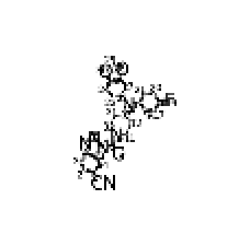 N#Cc1ccc2nnn(C(=O)N3CCC(N(c4ccc(F)cc4)c4ccc5c(c4)OCO5)CC3)c2c1